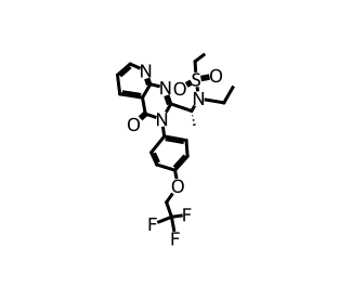 CCN([C@H](C)c1nc2ncccc2c(=O)n1-c1ccc(OCC(F)(F)F)cc1)S(=O)(=O)CC